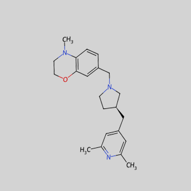 Cc1cc(C[C@H]2CCN(Cc3ccc4c(c3)OCCN4C)C2)cc(C)n1